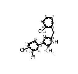 Cc1[nH]c(Cc2ccccc2Cl)nc1-c1ccc(Cl)c(Cl)c1